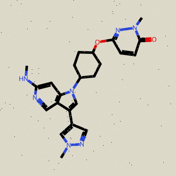 CNc1cc2c(cn1)c(-c1cnn(C)c1)cn2C1CCC(Oc2ccc(=O)n(C)n2)CC1